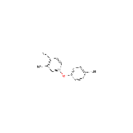 N#Cc1ccc(Oc2ccc(C#N)c(C#N)c2)cc1